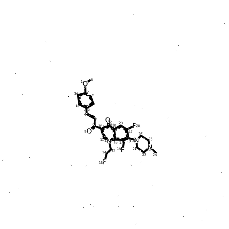 COc1ccc(C=CC(=O)c2cn(CCF)c3c(F)c(N4CCN(C)CC4)c(F)cc3c2=O)cc1